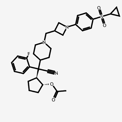 CC(=O)O[C@@H]1CCC[C@H]1C(C#N)(c1ccccc1F)C1CCN(CC2CN(c3ccc(S(=O)(=O)C4CC4)cc3)C2)CC1